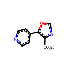 CCOC(=O)c1ncoc1-c1ccncc1